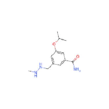 CNNCc1cc(OC(C)C)cc(C(N)=O)c1